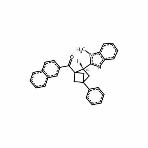 Cn1c([C@@H]2CC3(c4ccccc4)CC2(C(=O)c2ccc4ccccc4c2)C3)nc2ccccc21